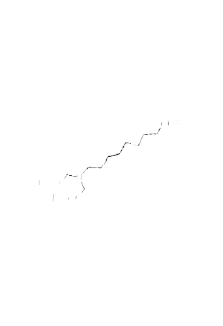 CCCCCCCCCCCCCCCCCCN(CC(=O)O)CC(=O)O